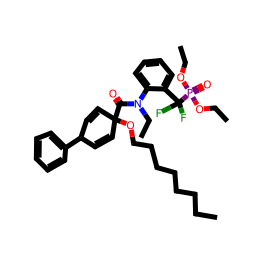 CCCCCCCCOC1(C(=O)N(CC)c2ccccc2C(F)(F)P(=O)(OCC)OCC)C=CC(c2ccccc2)C=C1